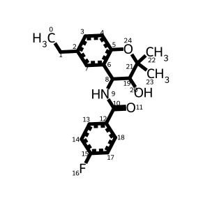 CCc1ccc2c(c1)C(NC(=O)c1ccc(F)cc1)C(O)C(C)(C)O2